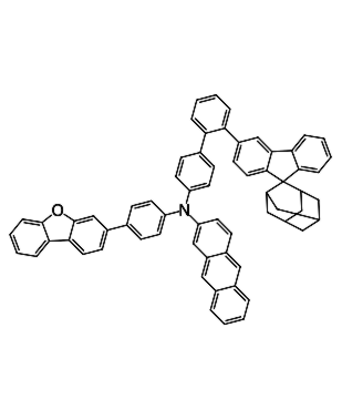 c1ccc(-c2ccc3c(c2)-c2ccccc2C32C3CC4CC(C3)CC2C4)c(-c2ccc(N(c3ccc(-c4ccc5c(c4)oc4ccccc45)cc3)c3ccc4cc5ccccc5cc4c3)cc2)c1